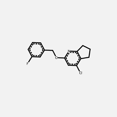 Fc1cccc(COc2cc(Cl)c3c(n2)CCC3)c1